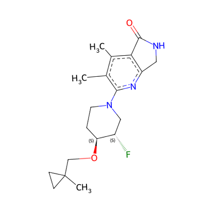 Cc1c(N2CC[C@H](OCC3(C)CC3)[C@@H](F)C2)nc2c(c1C)C(=O)NC2